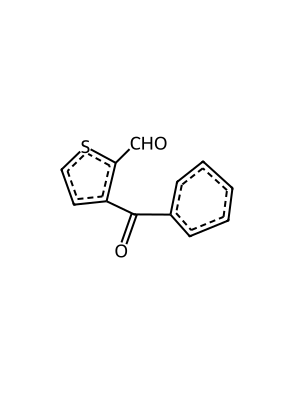 O=Cc1sccc1C(=O)c1ccccc1